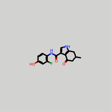 CC1CC(=O)c2c(C(=O)Nc3ccc(O)cc3F)c[nH]c2C1